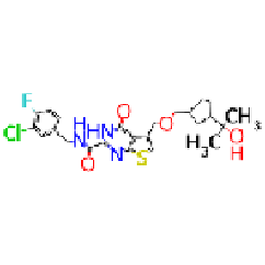 CC(C)(O)C1CCC(COCc2csc3nc(C(=O)NCc4ccc(F)c(Cl)c4)[nH]c(=O)c23)C1